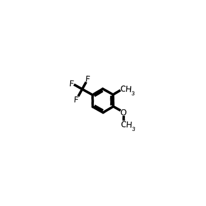 COc1ccc(C(F)(F)F)cc1C